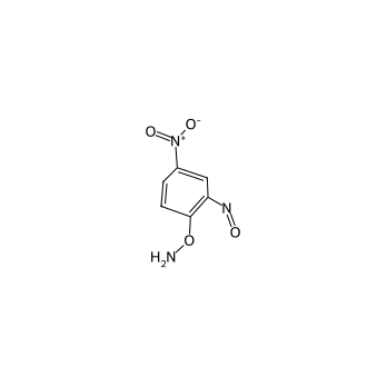 NOc1ccc([N+](=O)[O-])cc1N=O